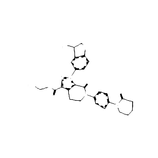 CCOC(=O)c1nn(-c2ccc3c(c2)C(C)CO3)c2c1CCN(c1ccc(N3CCCCC3=O)cc1)C2=O